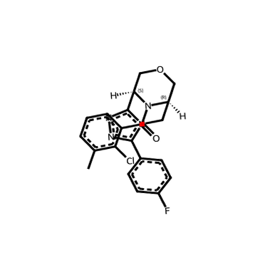 Cc1cccc(C(=O)N2[C@H]3COC[C@@H]2c2nnc(-c4ccc(F)cc4)n2C3)c1Cl